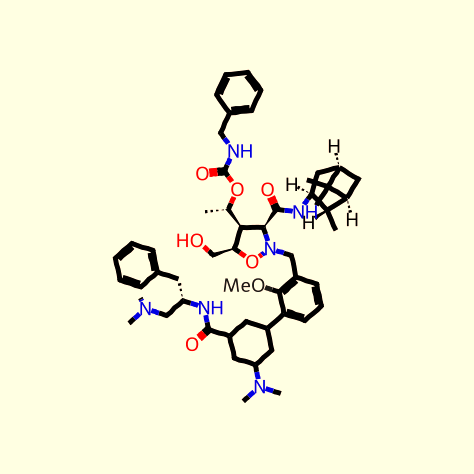 COc1c(CN2O[C@@H](CO)[C@@H]([C@H](C)OC(=O)NCc3ccccc3)[C@H]2C(=O)N[C@H]2C[C@H]3C[C@@H]([C@@H]2C)C3(C)C)cccc1C1CC(C(=O)N[C@@H](Cc2ccccc2)CN(C)C)CC(N(C)C)C1